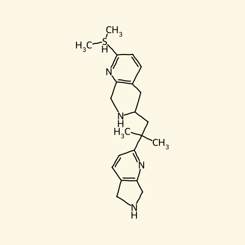 C[SH](C)c1ccc2c(n1)CNC(CC(C)(C)c1ccc3c(n1)CNC3)C2